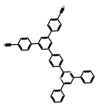 N#Cc1ccc(-c2cc(-c3ccc(C#N)cc3)cc(-c3ccc(-c4nc(-c5ccccc5)cc(-c5ccccc5)n4)cc3)c2)cc1